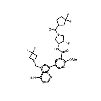 COc1ncc(-c2cc(CN3CC(F)(F)C3)c3c(N)ncnn23)cc1C(=O)N[C@@H]1CN(C(=O)C2CCC(F)(F)C2)C[C@@H]1F